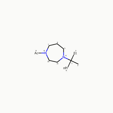 CCCC(C)(CC)N1CCCN(C(C)=O)CC1